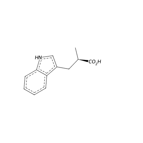 C[C@H](Cc1c[nH]c2ccccc12)C(=O)O